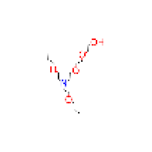 CCCOCCN(CCOCCC)CCOCCOCCO